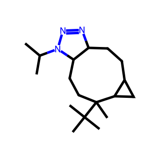 CC(C)N1N=NC2CCC3CC3C(C)(C(C)(C)C)CCC21